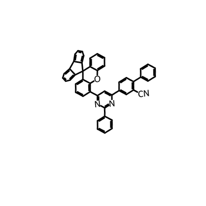 N#Cc1cc(-c2cc(-c3cccc4c3Oc3ccccc3C43c4ccccc4-c4ccccc43)nc(-c3ccccc3)n2)ccc1-c1ccccc1